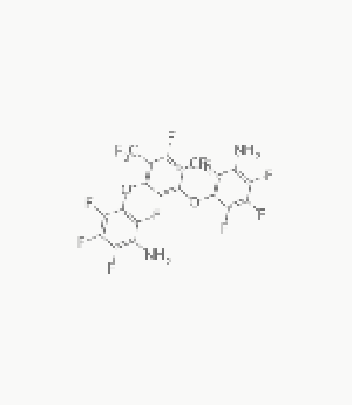 Nc1c(F)c(F)c(F)c(Oc2cc(Oc3c(F)c(N)c(F)c(F)c3F)c(C(F)(F)F)c(F)c2C(F)(F)F)c1F